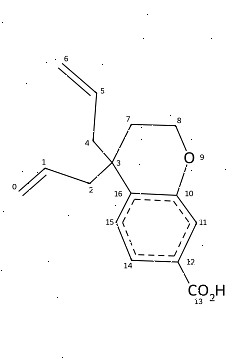 C=CCC1(CC=C)CCOc2cc(C(=O)O)ccc21